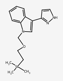 C[Si](C)(C)CCOCn1cc(-c2cc[nH]n2)c2ccccc21